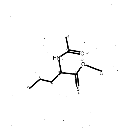 CCCC(NC(C)=O)C(=S)OC